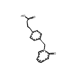 O=C(O)Cc1ccc(Cn2ccccc2=O)cc1